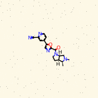 C[C@H]1[C@H]2CCN(C(=O)c3ncc(-c4ccnc(C#N)c4)o3)[C@H]2CN1C